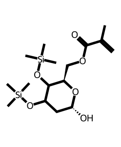 C=C(C)C(=O)OC[C@H]1O[C@H](O)CC(O[Si](C)(C)C)C1O[Si](C)(C)C